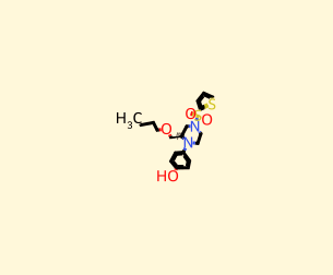 CCCCOC[C@H]1CN(S(=O)(=O)c2cccs2)CCN1c1ccc(O)cc1